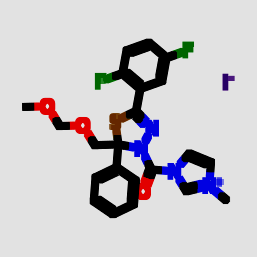 COCOCC1(c2ccccc2)SC(c2cc(F)ccc2F)=NN1C(=O)n1cc[n+](C)c1.[I-]